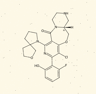 O=C1c2c(N3CCCC34CCOC4)nc(-c3c(O)cccc3F)c(Cl)c2OC[C@H]2CNCCN12